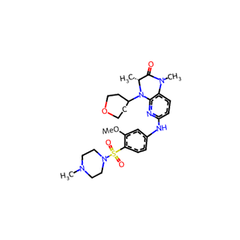 COc1cc(Nc2ccc3c(n2)N(C2CCOCC2)[C@H](C)C(=O)N3C)ccc1S(=O)(=O)N1CCN(C)CC1